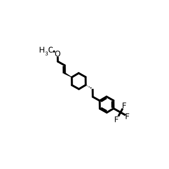 COC/C=C/[C@H]1CC[C@H](CCc2ccc(C(F)(F)F)cc2)CC1